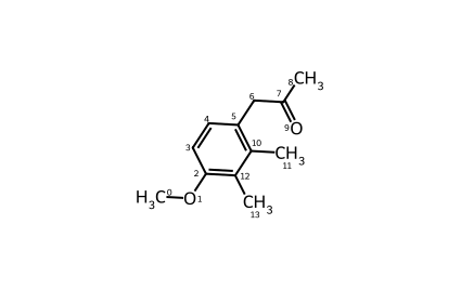 COc1ccc(CC(C)=O)c(C)c1C